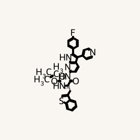 CC(C)(C)OC(=O)N[C@@H](Cc1csc2ccccc12)C(=O)Nc1ccc2c(-c3ccncc3)c(-c3ccc(F)cc3)[nH]c2n1